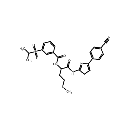 CSCCC(NC(=O)c1cccc(S(=O)(=O)C(C)C)c1)C(=O)NC1=NC(c2ccc(C#N)cc2)=CC1